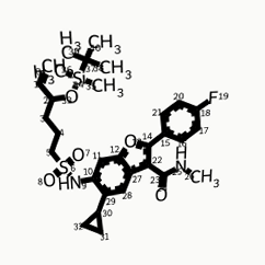 C=CC(CCCS(=O)(=O)Nc1cc2oc(-c3ccc(F)cc3)c(C(=O)NC)c2cc1C1CC1)O[Si](C)(C)C(C)(C)C